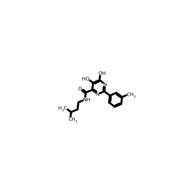 Cc1cccc(-c2nc(O)c(O)c(C(=O)NCCC(C)C)n2)c1